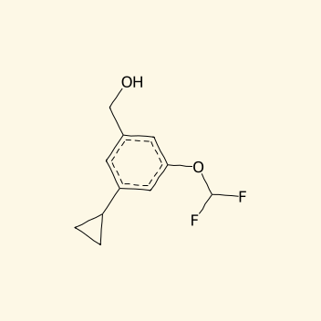 OCc1cc(OC(F)F)cc(C2CC2)c1